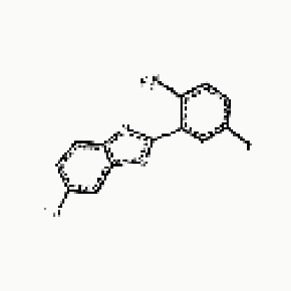 Nc1ccc(F)cc1-c1nc2ccc(O)cc2s1